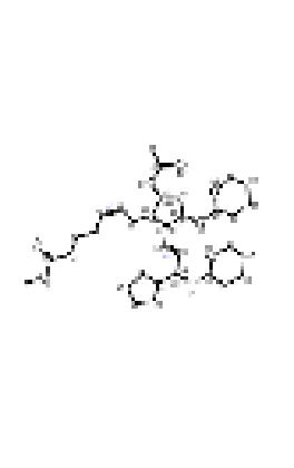 COC(=O)CCC/C=C\C[C@@H]1[C@@H](/C=C/[C@@H](OC2CCCCO2)C2CCCC2)[C@H](OC2CCCCO2)C[C@@H]1OC(C)=O